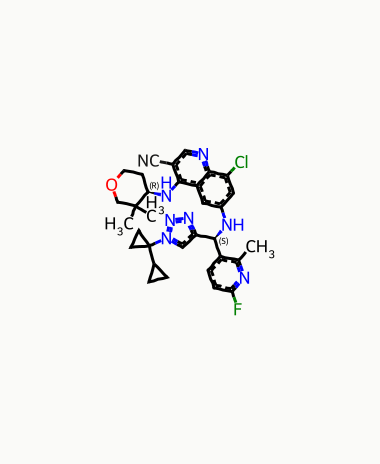 Cc1nc(F)ccc1[C@H](Nc1cc(Cl)c2ncc(C#N)c(N[C@@H]3CCOCC3(C)C)c2c1)c1cn(C2(C3CC3)CC2)nn1